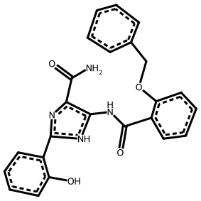 NC(=O)c1nc(-c2ccccc2O)[nH]c1NC(=O)c1ccccc1OCc1ccccc1